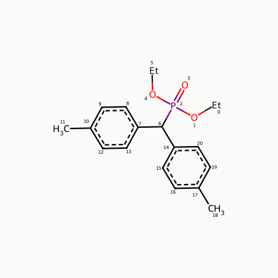 CCOP(=O)(OCC)C(c1ccc(C)cc1)c1ccc(C)cc1